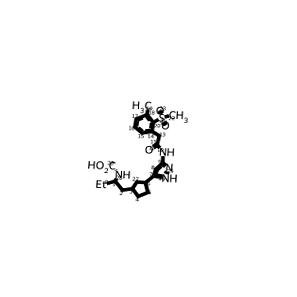 CCC(CC1CCC(c2cc(NC(=O)Cc3cccc(C)c3S(C)(=O)=O)n[nH]2)C1)NC(=O)O